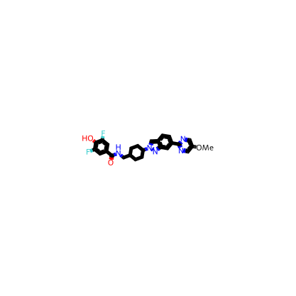 COc1cnc(-c2ccc3cn(C4CCC(CNC(=O)c5cc(F)c(O)c(F)c5)CC4)nc3c2)nc1